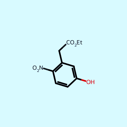 CCOC(=O)Cc1cc(O)ccc1[N+](=O)[O-]